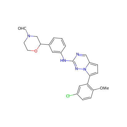 COc1ccc(Cl)cc1-c1ccc2cnc(Nc3cccc(C4CN(C=O)CCO4)c3)nn12